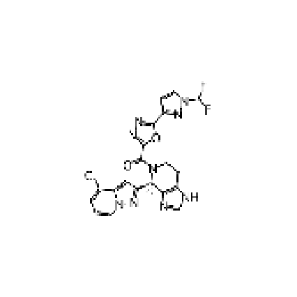 O=C(c1nnc(-c2ccn(C(F)F)n2)o1)N1CCc2[nH]cnc2[C@H]1c1cc2c(Cl)cccn2n1